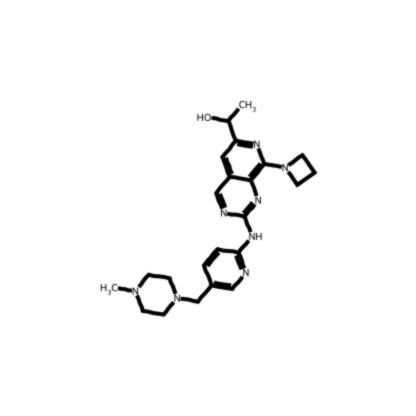 CC(O)c1cc2cnc(Nc3ccc(CN4CCN(C)CC4)cn3)nc2c(N2CCC2)n1